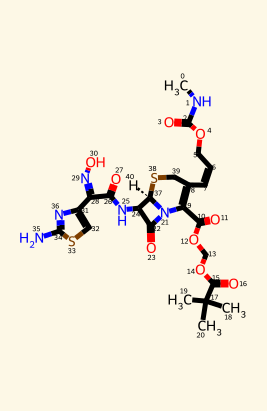 CNC(=O)OC/C=C\C1=C(C(=O)OCOC(=O)C(C)(C)C)N2C(=O)C(NC(=O)/C(=N\O)c3csc(N)n3)[C@H]2SC1